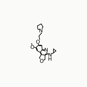 COc1cc2c3c(c(NC4CC4)nc2cc1OCCCN1CCCC1)COC3